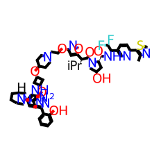 Cc1ncsc1-c1ccc([C@@H](NC(=O)[C@@H]2C[C@@H](O)CN2C(=O)[C@@H](c2cc(OCCN3CCC(OC4CC(Oc5cc(N6C7CC[C@@H]6CN(c6cc(-c8ccccc8O)nnc6N)C7)ccn5)C4)CC3)no2)C(C)C)C(F)F)cn1